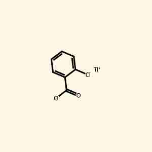 O=C([O-])c1ccccc1Cl.[Tl+]